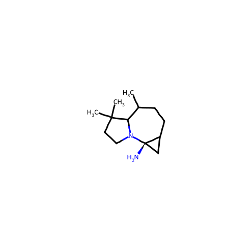 CC1CCC2C[C@]2(N)N2CCC(C)(C)C12